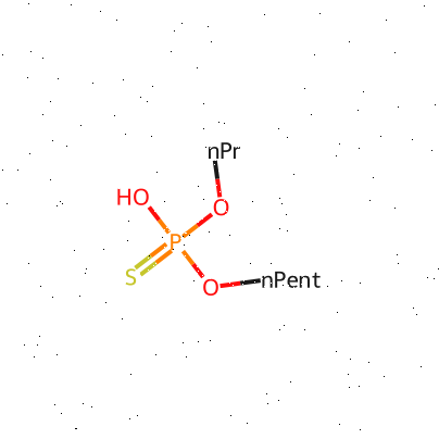 CCCCCOP(O)(=S)OCCC